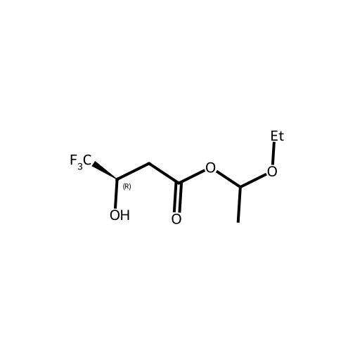 CCOC(C)OC(=O)C[C@@H](O)C(F)(F)F